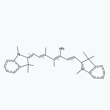 CCCC(/C=C/C1=[N+](C)c2ccccc2C1(C)C)=C(C)\C(C)=C\C=C1\N(C)c2ccccc2C1(C)C